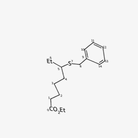 CCOC(=O)CCCCC(CC)SCc1ccccc1